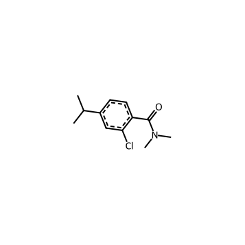 CC(C)c1ccc(C(=O)N(C)C)c(Cl)c1